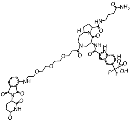 NC(=O)CCCNC(=O)[C@@H]1CC[C@@H]2CCN(C(=O)CCOCCOCCOCCNc3cccc4c3C(=O)N(C3CCC(=O)NC3=O)C4=O)C[C@H](NC(=O)c3cc4cc(C(F)(F)P(=O)(O)O)ccc4[nH]3)C(=O)N21